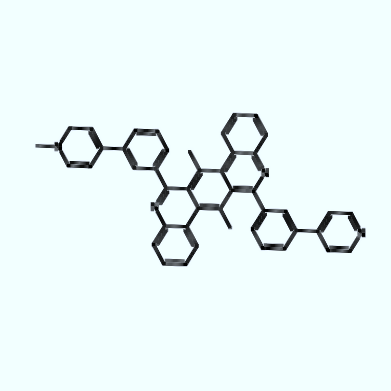 Cc1c2c(-c3cccc(-c4ccncc4)c3)nc3ccccc3c2c(C)c2c(-c3cccc(C4=CCN(C)C=C4)c3)nc3ccccc3c12